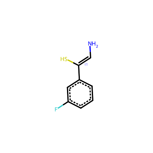 N/C=C(\S)c1cccc(F)c1